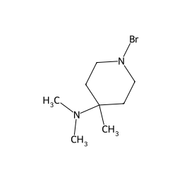 CN(C)C1(C)CCN(Br)CC1